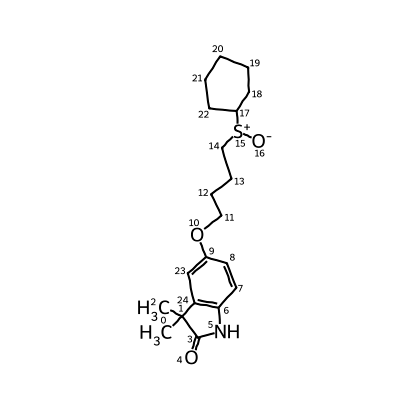 CC1(C)C(=O)Nc2ccc(OCCCC[S+]([O-])C3CCCCC3)cc21